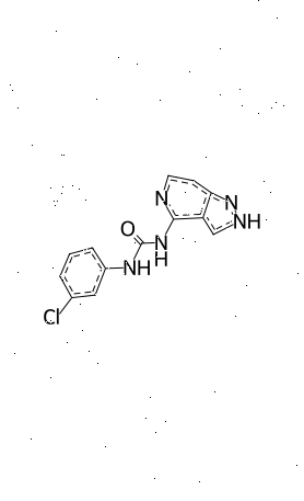 O=C(Nc1cccc(Cl)c1)Nc1nccc2n[nH]cc12